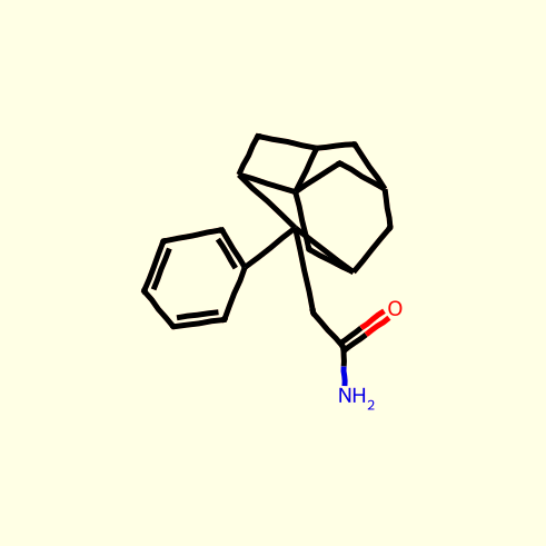 NC(=O)CC1(c2ccccc2)C2CC3CC4CC1C4(C3)C2